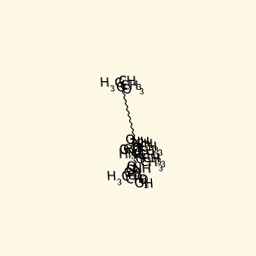 CC(C)(C)OC(=O)CCCCCCCCCCCCCCCCC(=O)N[C@H](CC(=C=O)C(=O)N[C@@H](CCC(=O)N[C@@H](CCC(=O)O)C(=O)OC(C)(C)C)C(=O)OC(C)(C)C)OC(C)(C)C